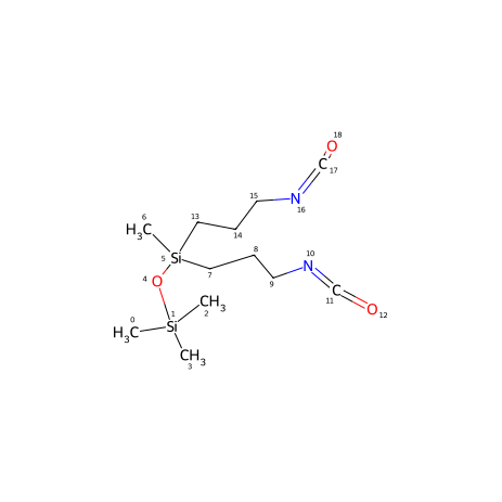 C[Si](C)(C)O[Si](C)(CCCN=C=O)CCCN=C=O